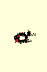 COc1nn(C)cc1C(=O)N[S@@]1(=O)=NC(=O)c2ccc3c(c2)N(C[C@@H]2CC[C@H]2[C@@H](OC)/C=C/[C@H](OC)[C@H](C)C1)C[C@@]1(CCCc2cc(Cl)ccc21)CO3